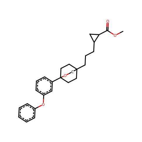 COC(=O)C1CC1CCCC12CCC(c3cccc(Oc4ccccc4)c3)(CC1)OC2